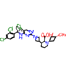 C[C@@H](Nc1nc(N2CC(C3CCCN([C@H]4C[C@@H](O)C4)C3C(=O)O)C2)ncc1Cl)c1ccc(Cl)cc1Cl